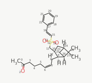 CC(=O)CCC/C=C\C[C@H]1[C@@H](CS(=O)(=O)/C=C/c2ccccc2)C[C@H]2C[C@@H]1C2(C)C